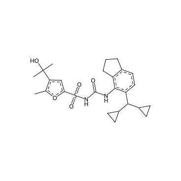 Cc1oc(S(=O)(=O)NC(=O)Nc2c(C(C3CC3)C3CC3)ccc3c2CCC3)cc1C(C)(C)O